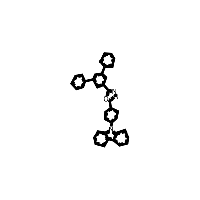 c1ccc(-c2cc(-c3ccccc3)cc(-c3nnc(-c4ccc(-n5c6ccccc6c6ccccc65)cc4)o3)c2)cc1